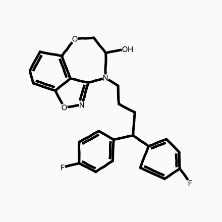 OC1COc2cccc3onc(c23)N1CCCC(c1ccc(F)cc1)c1ccc(F)cc1